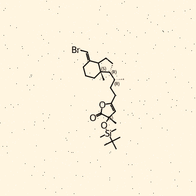 C[C@H](CCC1=C[C@](C)(O[Si](C)(C)C(C)(C)C)C(=O)O1)[C@H]1CCC2C(=CBr)CCC[C@]21C